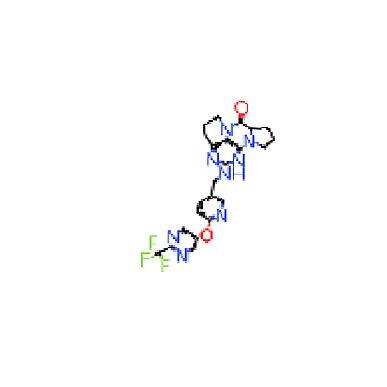 O=C1C2CCCN2c2nc(NCc3ccc(Oc4cnc(C(F)(F)F)nc4)nc3)nc3c2N1CCC3